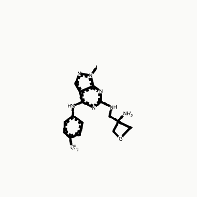 NC1(CNc2nc(Nc3ccc(C(F)(F)F)cc3)c3cnn(I)c3n2)COC1